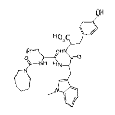 CC(C)CC(NC(=O)N1CCCCCC1)C(=O)NC(Cc1cn(C)c2ccccc12)C(=O)NC(Cc1ccc(O)cc1)C(=O)O